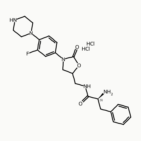 Cl.Cl.N[C@@H](Cc1ccccc1)C(=O)NCC1CN(c2ccc(N3CCNCC3)c(F)c2)C(=O)O1